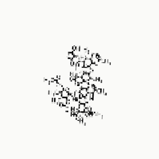 CC(=O)NC1[C@H](O[C@@H]2C(CO[C@@H]3OC(COC(C)=O)[C@@H](C)[C@H](C)C3OC(C)=O)O[C@@H](OC3[C@@H](OC(N)=O)[C@](C)(O)C(C(N)=O)O[C@@H]3O)C(NC(C)=O)[C@H]2C)OC(C)[C@@H](O[C@@H]2OC(C(=O)NC3=C(O)CCC3=O)[C@H](C)[C@H](C)C2OC(C)=O)[C@@H]1C